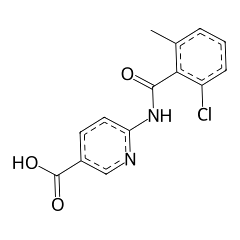 Cc1cccc(Cl)c1C(=O)Nc1ccc(C(=O)O)cn1